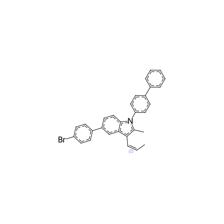 C/C=C\c1c(C)n(-c2ccc(-c3ccccc3)cc2)c2ccc(-c3ccc(Br)cc3)cc12